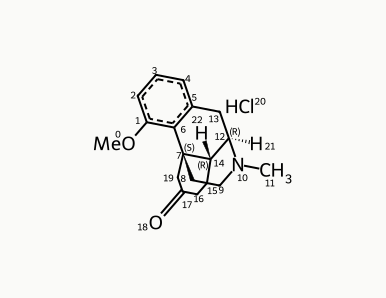 COc1cccc2c1[C@]13CCN(C)[C@H](C2)[C@@H]1CCC(=O)C3.Cl